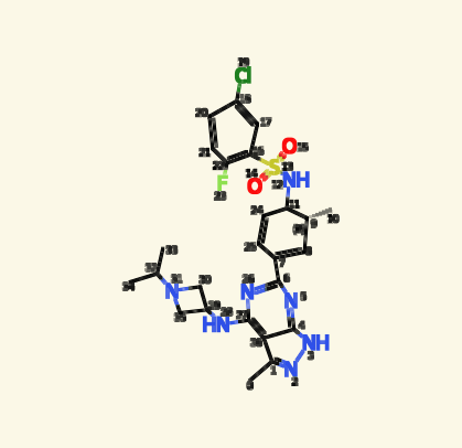 Cc1n[nH]c2nc(C3=C[C@@H](C)C(NS(=O)(=O)c4cc(Cl)ccc4F)C=C3)nc(NC3CN(C(C)C)C3)c12